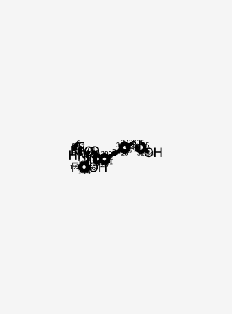 O=C(Nc1nccs1)C(c1cc(F)ccc1O)N1Cc2ccc(C#Cc3ccc(CN4CCC(O)CC4)cc3)cc2C1=O